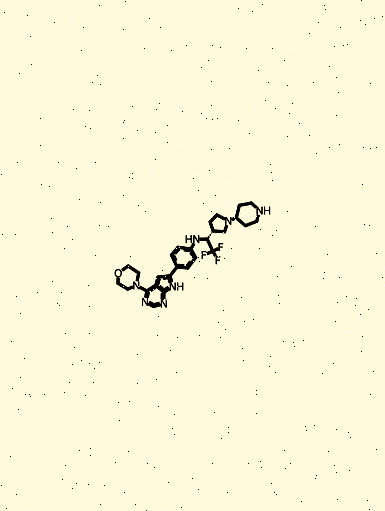 FC(F)(F)C(Nc1ccc(-c2cc3c(N4CCOCC4)ncnc3[nH]2)cc1)[C@@H]1CCN(C2CCNCC2)C1